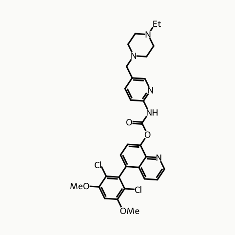 CCN1CCN(Cc2ccc(NC(=O)Oc3ccc(-c4c(Cl)c(OC)cc(OC)c4Cl)c4cccnc34)nc2)CC1